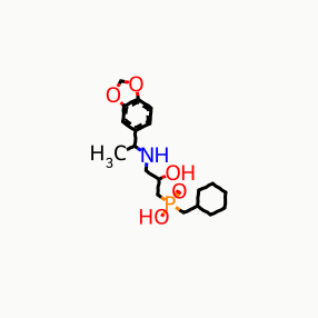 CC(NCC(O)CP(=O)(O)CC1CCCCC1)c1ccc2c(c1)OCO2